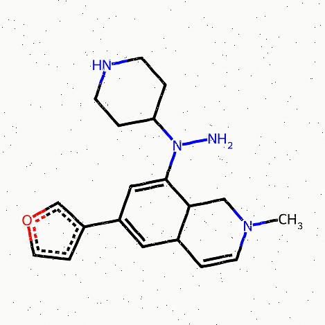 CN1C=CC2C=C(c3ccoc3)C=C(N(N)C3CCNCC3)C2C1